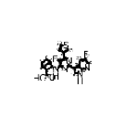 O=C(O)C1C2CCC(CC2)C1Nc1nc(-c2c[nH]c3ncc(F)cc23)nc(-c2ccsc2)c1F